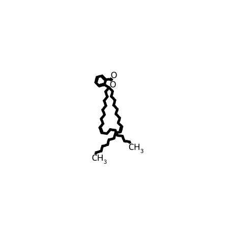 CCCCCCCC/C=C\CCCCCCCCC1(CCCCCCCC/C=C\CCCCCCCC)OC(=O)c2ccccc21